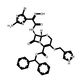 Nc1nc(/C(=N/O)C(=O)N[C@@H]2C(=O)N3C(C(=O)OC(c4ccccc4)c4ccccc4)=C(SCc4cn[nH]c4)CS[C@@H]23)c(Br)s1